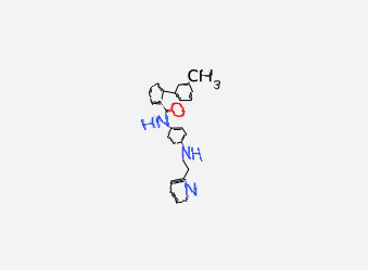 Cc1cccc(-c2ccccc2C(=O)Nc2ccc(NCCc3ccccn3)cc2)c1